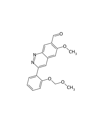 COCOc1ccccc1-c1cc2cc(OC)c(C=O)cc2nn1